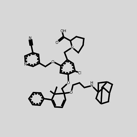 CC1(C)C(c2ccccc2)=CC=CC1(COc1cc(OCc2cncc(C#N)c2)c(CN2CCCCC2C(=O)O)cc1Cl)OCCCNC12CC3CC(CC(C3)C1)C2